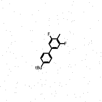 Cc1c(F)cc(-c2ccc(C(C)(C)C)cc2)cc1F